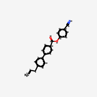 C=CCc1ccc(-c2ccc(C(=O)Oc3ccc(C#N)cc3)cc2)cc1